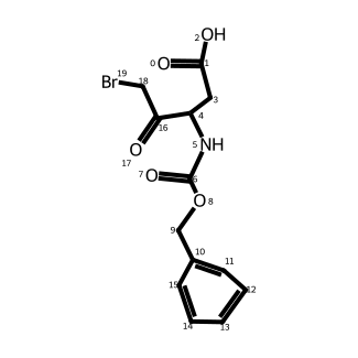 O=C(O)CC(NC(=O)OCc1ccccc1)C(=O)CBr